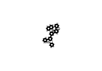 c1ccc(Nc2ccc(-c3ccc4c(c3)c3ccc5oc6ccccc6c5c3n4-c3cccc4ccccc34)cc2-c2ccccc2)cc1